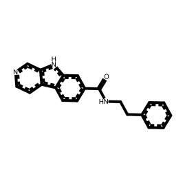 O=C(NCCc1ccccc1)c1ccc2c(c1)[nH]c1cnccc12